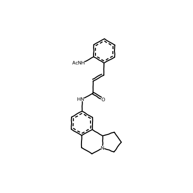 CC(=O)Nc1ccccc1C=CC(=O)Nc1ccc2c(c1)C1CCCN1CC2